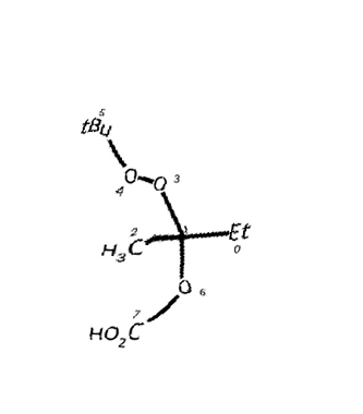 CCC(C)(OOC(C)(C)C)OC(=O)O